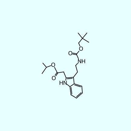 CC(C)OC(=O)Cc1[nH]c2ccccc2c1CCNC(=O)OCC(C)(C)C